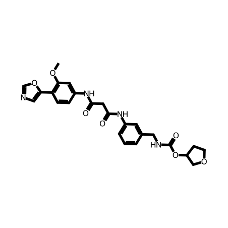 COc1cc(NC(=O)CC(=O)Nc2cccc(CNC(=O)OC3CCOC3)c2)ccc1-c1cnco1